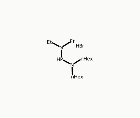 Br.CCCCCCN(CCCCCC)PN(CC)CC